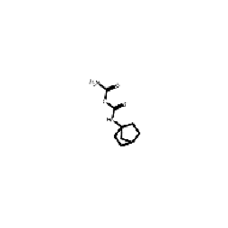 NC(=O)OC(=S)NC12CCC(CC1)C2